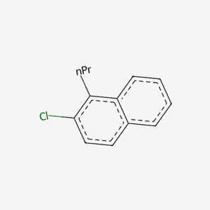 CCCc1c(Cl)ccc2ccccc12